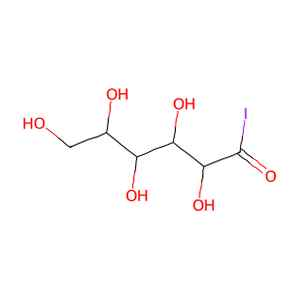 O=C(I)C(O)C(O)C(O)C(O)CO